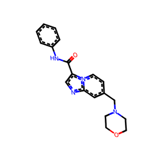 O=C(Nc1ccccc1)c1cnc2cc(CN3CCOCC3)ccn12